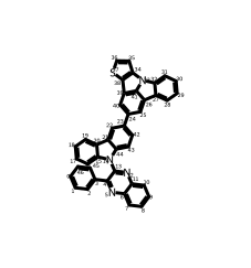 c1ccc(-c2nc3ccccc3nc2-n2c3ccccc3c3cc(-c4cc5c6ccccc6n6c7ccsc7c(c4)c56)ccc32)cc1